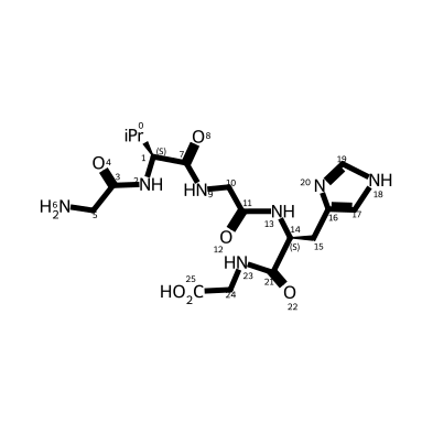 CC(C)[C@H](NC(=O)CN)C(=O)NCC(=O)N[C@@H](Cc1c[nH]cn1)C(=O)NCC(=O)O